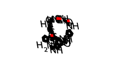 C[C@@H]1C(=O)Nc2ccc(cc2)C[C@@H](C(=O)NCc2ccc(C(=N)N)cc2)NC(=O)[C@H](NS(=O)(=O)Cc2ccccc2)Cc2ccc(cc2)NC(=O)[C@H](C)N2CCN1CC2